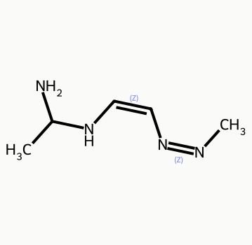 C/N=N\C=C/NC(C)N